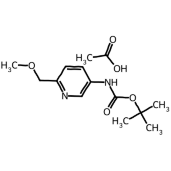 CC(=O)O.COCc1ccc(NC(=O)OC(C)(C)C)cn1